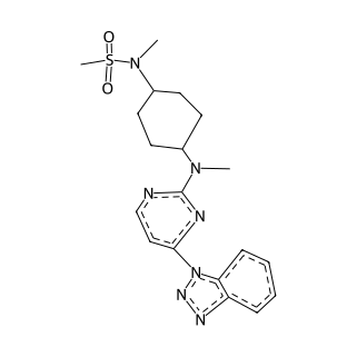 CN(c1nccc(-n2nnc3ccccc32)n1)C1CCC(N(C)S(C)(=O)=O)CC1